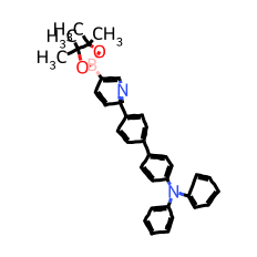 CC1(C)OB(c2ccc(-c3ccc(-c4ccc(N(c5ccccc5)c5ccccc5)cc4)cc3)nc2)OC1(C)C